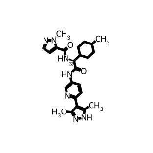 Cc1n[nH]c(C)c1-c1ccc(NC(=O)[C@@H](NC(=O)c2ccnn2C)C2CCC(C)CC2)cn1